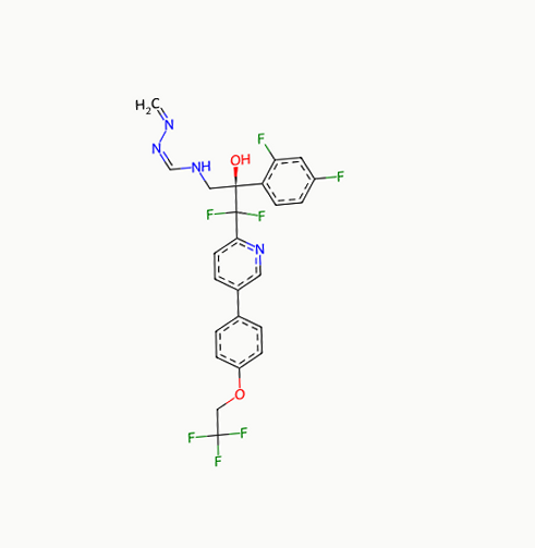 C=N/N=C\NC[C@](O)(c1ccc(F)cc1F)C(F)(F)c1ccc(-c2ccc(OCC(F)(F)F)cc2)cn1